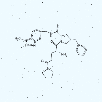 Cn1nnc2cc(CNC(=O)[C@@H]3C[C@H](Cc4ccccc4)CN3C(=O)[C@H](N)CCC(=O)N3CCCC3)ccc21